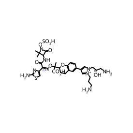 CC(O/N=C(\C(=O)NC1C(=O)N(OS(=O)(=O)O)C1(C)C)c1csc(N)n1)(C(=O)O)C1CCc2cc(-c3cn(C[C@@H](O)CN)[n+](CCCN)c3)ccc2O1